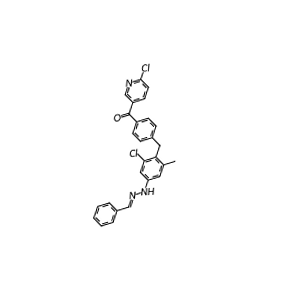 Cc1cc(NN=Cc2ccccc2)cc(Cl)c1Cc1ccc(C(=O)c2ccc(Cl)nc2)cc1